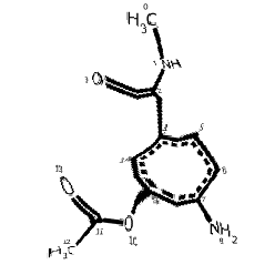 CNC(=O)c1ccc(N)c(OC(C)=O)c1